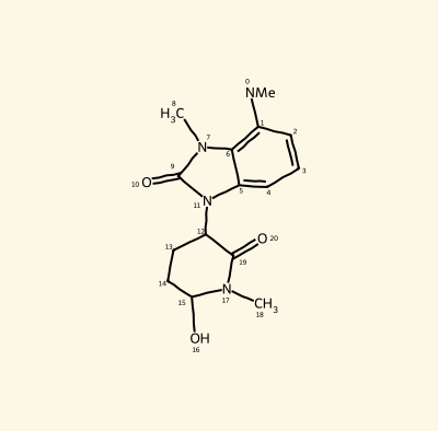 CNc1cccc2c1n(C)c(=O)n2C1CCC(O)N(C)C1=O